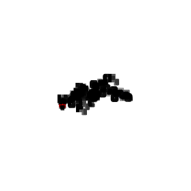 CCCN(C(=O)OCOC(=O)/C=C/C=O)C(=O)c1ccc(C)c(Nc2ncnn3cc(C(=O)NC4CC4)c(C)c23)c1